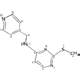 CSc1nc[c]c(NCc2ccncc2)n1